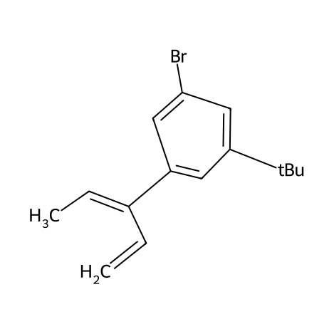 C=C/C(=C\C)c1cc(Br)cc(C(C)(C)C)c1